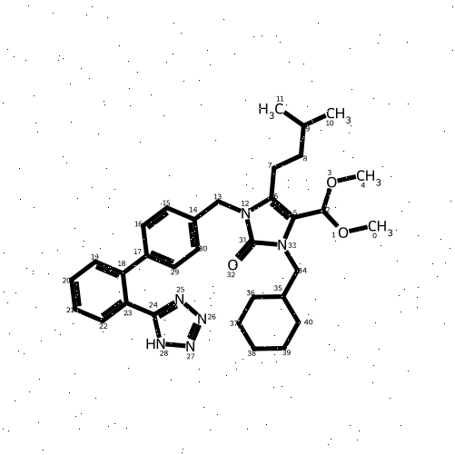 COC(OC)c1c(CCC(C)C)n(Cc2ccc(-c3ccccc3-c3nnn[nH]3)cc2)c(=O)n1CC1CCCCC1